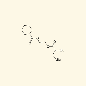 CC(C)(C)CC(C(=O)OCCOC(=O)C1CCCCC1)C(C)(C)C